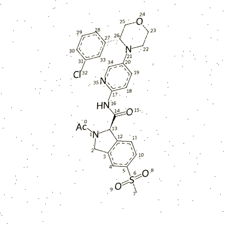 CC(=O)N1Cc2cc(S(C)(=O)=O)ccc2[C@@H]1C(=O)Nc1ccc(N2CCOC[C@H]2c2cccc(Cl)c2)cn1